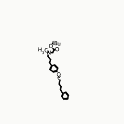 CN(CCCc1ccc(OCCCCCc2ccccc2)cc1)CC(=O)OC(C)(C)C